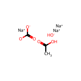 CC(=O)O.O=C([O-])[O-].[Na+].[Na+].[Na+].[OH-]